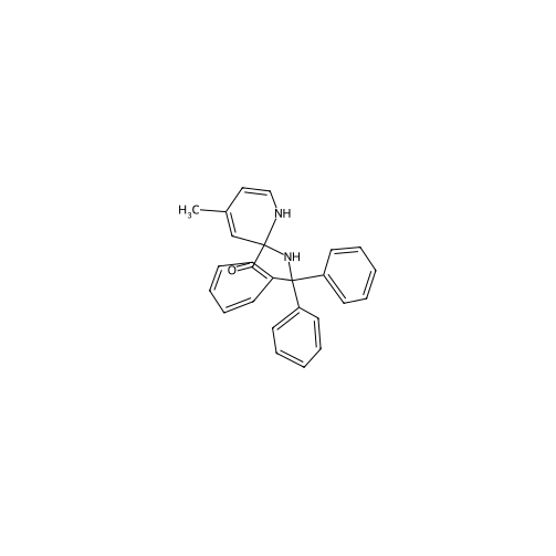 CC1=CC(C=O)(NC(c2ccccc2)(c2ccccc2)c2ccccc2)NC=C1